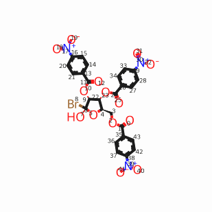 O=C(OC[C@H]1O[C@@](O)(Br)[C@H](OC(=O)c2ccc([N+](=O)[O-])cc2)[C@@H]1OC(=O)c1ccc([N+](=O)[O-])cc1)c1ccc([N+](=O)[O-])cc1